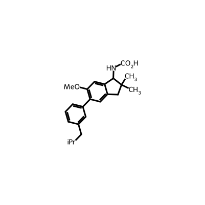 COc1cc2c(cc1-c1cccc(CC(C)C)c1)CC(C)(C)C2NC(=O)O